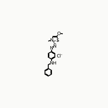 COc1cn(C)[c+](N=Nc2ccc(NCc3ccccc3)cc2)s1.[Cl-]